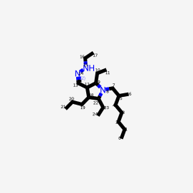 CCCCCC(C)CN1C(CC)C(/C=N\NCC)C(CCC)C1CC